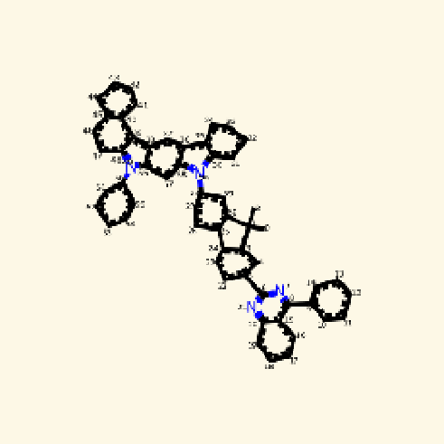 CC1(C)c2cc(-c3nc(-c4ccccc4)c4ccccc4n3)ccc2-c2ccc(-n3c4ccccc4c4cc5c6c7ccccc7ccc6n(-c6ccccc6)c5cc43)cc21